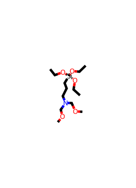 CCO[Si](CCCN(COC)COC)(OCC)OCC